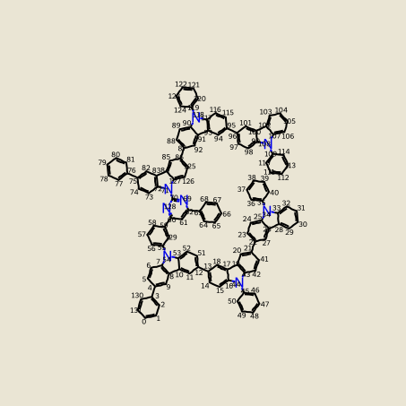 c1ccc(-c2ccc3c(c2)c2cc(-c4ccc5c(c4)c4cc(-c6ccc7c(c6)c6ccccc6n7-c6ccccc6)ccc4n5-c4ccccc4)ccc2n3-c2cccc(-c3cc(-c4ccccc4)nc(-n4c5ccc(-c6ccccc6)cc5c5cc(-c6ccc7c(c6)c6cc(-c8ccc9c(c8)c8ccccc8n9-c8ccccc8)ccc6n7-c6ccccc6)ccc54)n3)c2)cc1